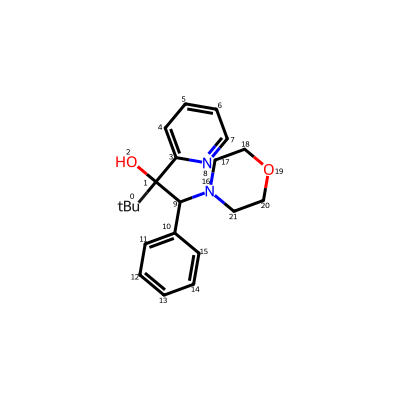 CC(C)(C)C(O)(c1ccccn1)C(c1ccccc1)N1CCOCC1